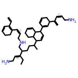 C=CC1=C(/C=C\CNCC(CCC(C)C2C=CC(C3=CC(C(=C)/C=C\CN)CC=C3)C3C=CCCC23)/C(=C/CN)CC)CCC=C1